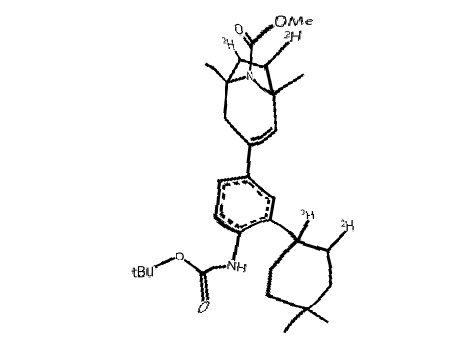 [2H]C1CC(C)(C)CCC1([2H])c1cc(C2=CC3(C)C([2H])C([2H])C(C)(C2)N3C(=O)OC)ccc1NC(=O)OC(C)(C)C